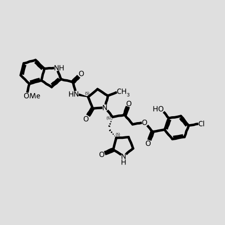 COc1cccc2[nH]c(C(=O)N[C@H]3CC(C)N([C@@H](C[C@@H]4CCNC4=O)C(=O)COC(=O)c4ccc(Cl)cc4O)C3=O)cc12